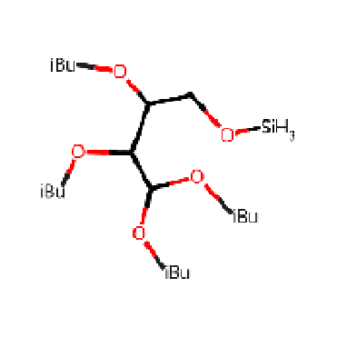 CCC(C)OC(CO[SiH3])C(OC(C)CC)C(OC(C)CC)OC(C)CC